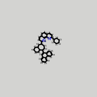 C1=CC2CC=c3ccc(C4CCCCC4)nc3=C2N=C1C1CCC(c2cc3ccccc3c3ccccc23)C2CCCCC2C1